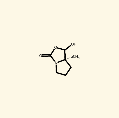 C[C@]12CCCN1C(=O)OC2O